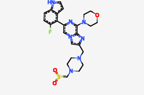 O=S(=O)=CN1CCN(Cc2cn3cc(-c4c(F)ccc5[nH]ccc45)nc(N4CCOCC4)c3n2)CC1